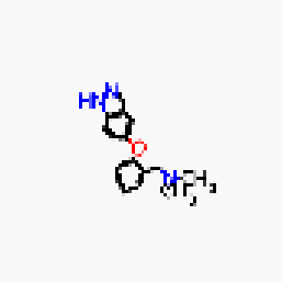 CN(C)Cc1ccccc1Oc1ccc2[nH]ncc2c1